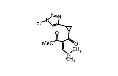 CCn1cc(C2CC2C(=O)/C(=C\N(C)C)C(=O)OC)nn1